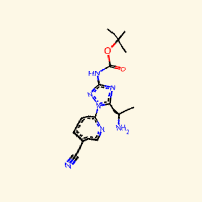 CC(N)c1nc(NC(=O)OC(C)(C)C)nn1-c1ccc(C#N)cn1